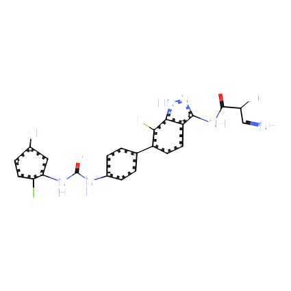 CCC(C=N)C(=O)Nc1n[nH]c2c(F)c(-c3ccc(NC(=O)Nc4cc(C(F)(F)F)ccc4F)cc3)ccc12